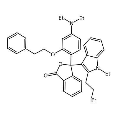 CCN(CC)c1ccc(C2(c3c(CCC(C)C)n(CC)c4ccccc34)OC(=O)c3ccccc32)c(OCCc2ccccc2)c1